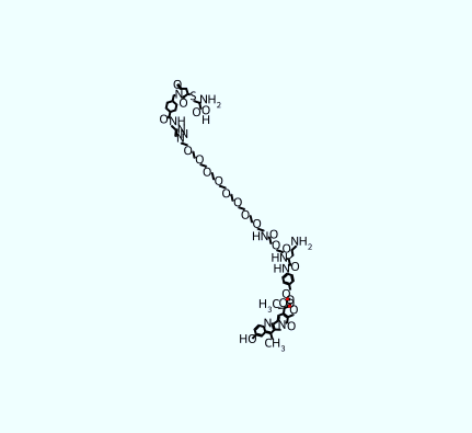 CCc1c2c(nc3ccc(O)cc13)-c1cc3c(c(=O)n1C2)COC(=O)[C@@]3(CC)OC(=O)OCc1ccc(NC(=O)[C@H](CCCN)NC(=O)COCC(=O)NCCOCCOCCOCCOCCOCCOCCOCCOCCn2cc(CNC(=O)C3CCC(CN4C(=O)CC(SC[C@H](N)C(=O)O)C4=O)CC3)nn2)cc1